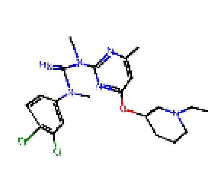 CCN1CCCC(Oc2cc(C)nc(N(C)C(=N)N(C)c3ccc(Cl)c(Cl)c3)n2)C1